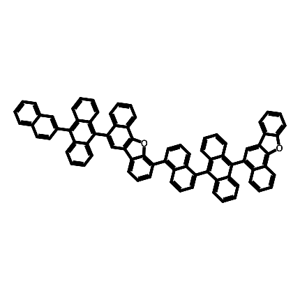 c1ccc2cc(-c3c4ccccc4c(-c4cc5c6cccc(-c7cccc8c(-c9c%10ccccc%10c(-c%10cc%11c%12ccccc%12oc%11c%11ccccc%10%11)c%10ccccc9%10)cccc78)c6oc5c5ccccc45)c4ccccc34)ccc2c1